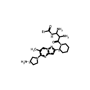 CCC(=O)NC(N)C(N)C(=O)N1CCCC[C@H]1c1cc2nc(N3CC[C@H](N)C3)c(C)cn2n1